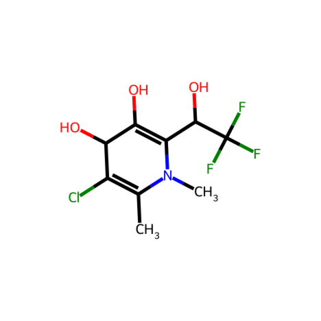 CC1=C(Cl)C(O)C(O)=C(C(O)C(F)(F)F)N1C